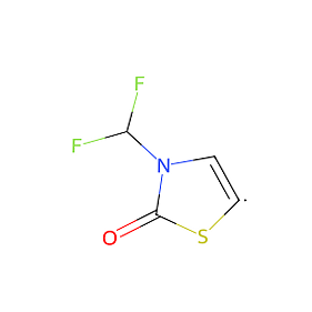 O=c1s[c]cn1C(F)F